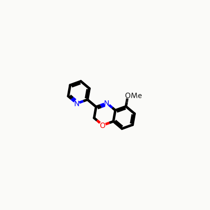 COc1cccc2c1N=C(c1ccccn1)CO2